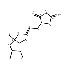 CCC(C)CC(C)(CC)C/C=C/CC1CC(=O)OC1=O